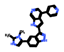 CC1NC=C(c2ccc3[nH]nc(-c4cc5c(-c6ccncc6)cncc5[nH]4)c3c2)N1C